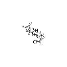 C=C/N=C(C/C(=C/C)CC=C(C)Cl)\C(N)=N/CCN(CCC)CCC